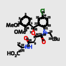 COc1cccc([C@@H]2O[C@@H](CC(=O)N[C@@H](C)C(=O)O)C(=O)N(CC(C)(C)C)c3ccc(Cl)cc32)c1OC